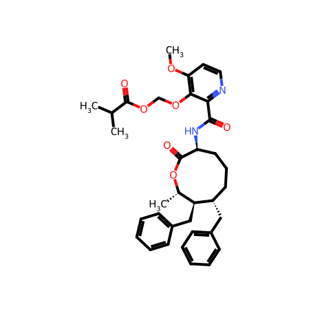 COc1ccnc(C(=O)N[C@H]2CCC[C@H](Cc3ccccc3)[C@@H](Cc3ccccc3)[C@H](C)OC2=O)c1OCOC(=O)C(C)C